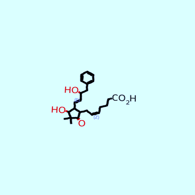 CC1(C)C(=O)C(C/C=C\CCCC(=O)O)C(/C=C/C(O)Cc2ccccc2)C1O